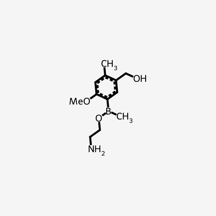 COc1cc(C)c(CO)cc1B(C)OCCN